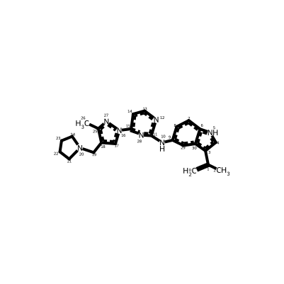 C=C(C)c1c[nH]c2ccc(Nc3nccc(-n4cc(CN5CCCC5)c(C)n4)n3)cc12